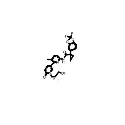 Cc1ccc(NC(=O)C2(c3ccc4c(c3)OC(F)(F)O4)CC2)nc1-c1ccc(=O)n(C[C@@H](C)CO)c1